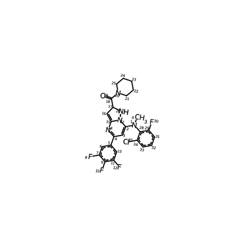 CN(C1=CC(c2cc(F)c(F)c(F)c2)=NC2=CC(C(=O)N3CCCCC3)NN21)c1c(F)cccc1Cl